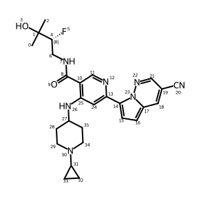 CC(C)(O)[C@H](F)CNC(=O)c1cnc(-c2ccc3cc(C#N)cnn23)cc1NC1CCN(C2CC2)CC1